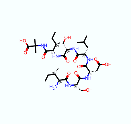 CC[C@H](C)[C@H](N)C(=O)N[C@@H](CO)C(=O)N[C@@H](CC(=O)O)C(=O)N[C@@H](CC(C)C)C(=O)N[C@@H](CO)C(=O)N[C@H](C(=O)NC(C)(C)C(=O)O)[C@@H](C)CC